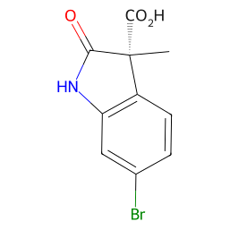 C[C@]1(C(=O)O)C(=O)Nc2cc(Br)ccc21